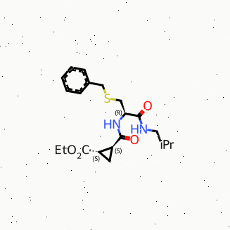 CCOC(=O)[C@H]1C[C@@H]1C(=O)N[C@@H](CSCc1ccccc1)C(=O)NCC(C)C